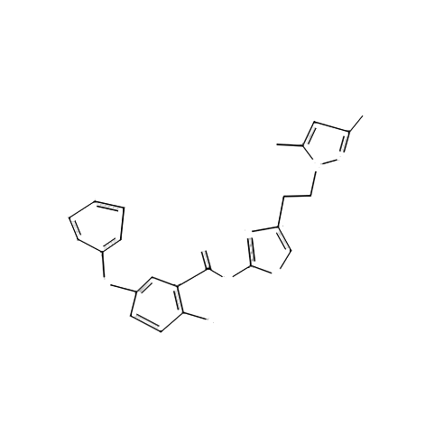 Cc1cc(C)n(CCc2csc(NC(=O)c3cc(Oc4ccccc4)ccc3N)n2)n1